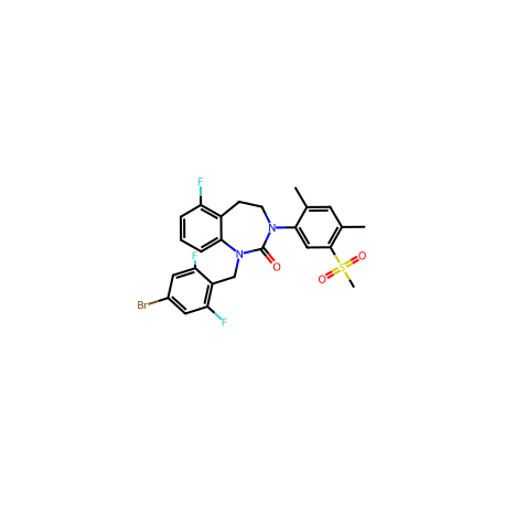 Cc1cc(C)c(S(C)(=O)=O)cc1N1CCc2c(F)cccc2N(Cc2c(F)cc(Br)cc2F)C1=O